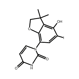 CC1(C)COc2c(-n3ccc(=O)[nH]c3=O)cc(I)c(O)c21